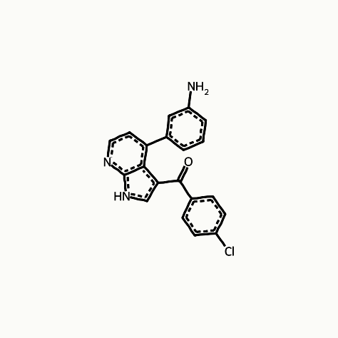 Nc1cccc(-c2ccnc3[nH]cc(C(=O)c4ccc(Cl)cc4)c23)c1